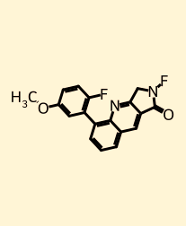 COc1ccc(F)c(-c2cccc3cc4c(nc23)CN(F)C4=O)c1